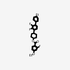 CCOc1ccc(C(=O)OC2CCC(c3ccc(-c4ccc(CC)cc4)c(F)c3F)CC2)c(F)c1